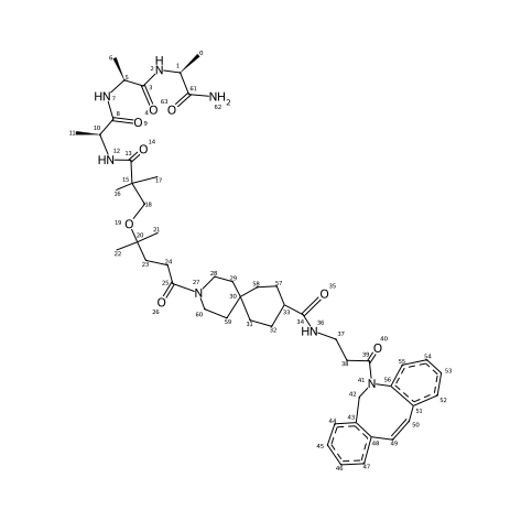 C[C@H](NC(=O)[C@H](C)NC(=O)[C@H](C)NC(=O)C(C)(C)COC(C)(C)CCC(=O)N1CCC2(CCC(C(=O)NCCC(=O)N3Cc4ccccc4/C=C\c4ccccc43)CC2)CC1)C(N)=O